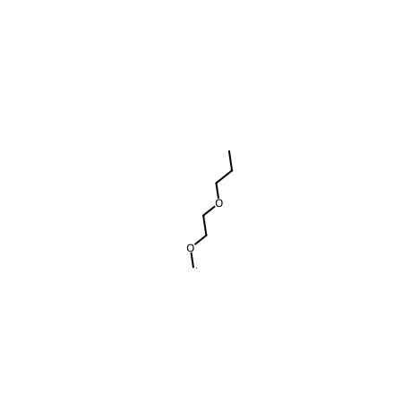 [CH2]OCCOCCC